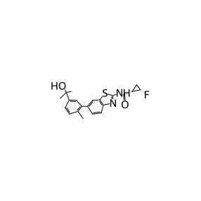 Cc1ccc(C(C)(C)O)cc1-c1ccc2nc(NC(=O)[C@@H]3C[C@@H]3F)sc2c1